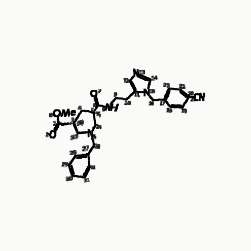 COC(=O)[C@H]1C[C@@H](C(=O)NCCc2cncn2Cc2ccc(C#N)cc2)CN(Cc2ccccc2)C1